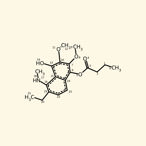 CCCC(=O)Oc1c(OC)c(OC)c(O)c2c(NC)c(CC)ccc12